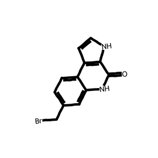 O=c1[nH]c2cc(CBr)ccc2c2cc[nH]c12